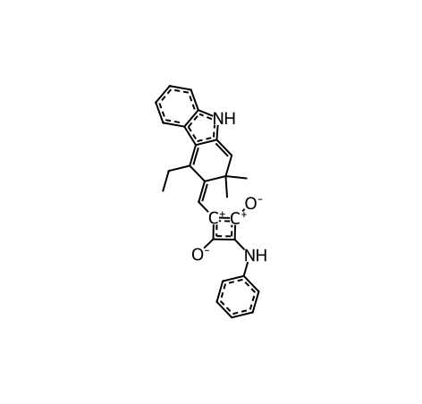 CCC1=c2c([nH]c3ccccc23)=CC(C)(C)C1=C[c+]1c([O-])c(Nc2ccccc2)[c+]1[O-]